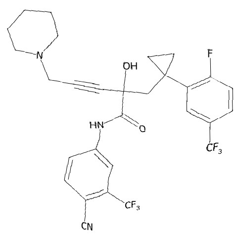 N#Cc1ccc(NC(=O)C(O)(C#CCN2CCCCC2)CC2(c3cc(C(F)(F)F)ccc3F)CC2)cc1C(F)(F)F